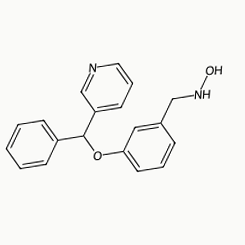 ONCc1cccc(OC(c2ccccc2)c2cccnc2)c1